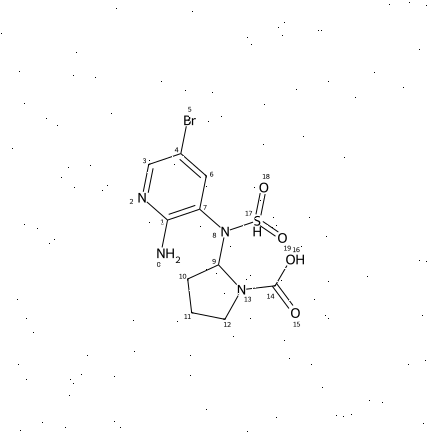 Nc1ncc(Br)cc1N(C1CCCN1C(=O)O)[SH](=O)=O